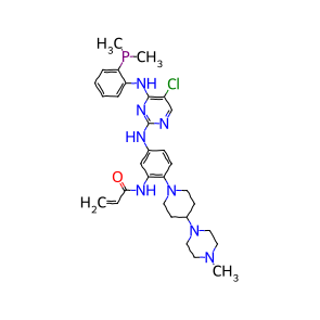 C=CC(=O)Nc1cc(Nc2ncc(Cl)c(Nc3ccccc3P(C)C)n2)ccc1N1CCC(N2CCN(C)CC2)CC1